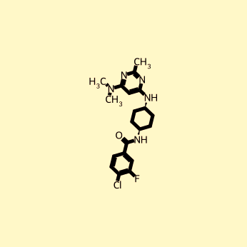 Cc1nc(N[C@H]2CC[C@@H](NC(=O)c3ccc(Cl)c(F)c3)CC2)cc(N(C)C)n1